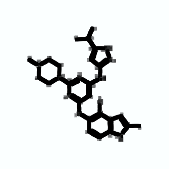 Cc1cc2c(Cl)c(Oc3cc(Nc4cc(C(C)C)[nH]n4)nc(N4CCN(C)CC4)n3)ccc2[nH]1